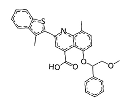 COCC(Oc1ccc(C)c2nc(-c3sc4ccccc4c3C)cc(C(=O)O)c12)c1ccccc1